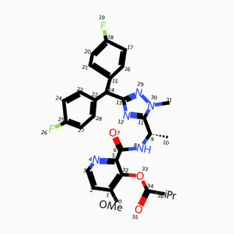 COc1ccnc(C(=O)N[C@@H](C)c2nc(C(c3ccc(F)cc3)c3ccc(F)cc3)nn2C)c1OC(=O)C(C)C